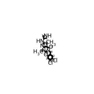 Cn1c(NC2CNC2)nc2c1c(=O)n(Cc1ccc(Cl)c(Cl)c1)c(=O)n2C